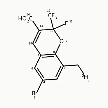 [2H]Cc1cc(Br)cc2c1OC(F)(C(F)(F)F)C(C(=O)O)=C2